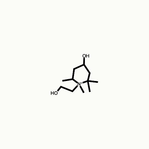 CC1CC(O)CC(C)(C)[N+]1(C)CCO